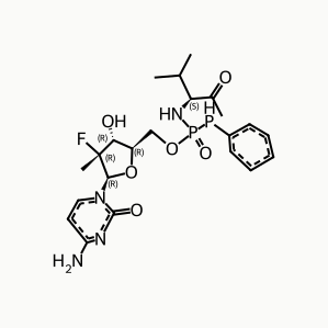 CC(=O)[C@@H](NP(=O)(OC[C@H]1O[C@@H](n2ccc(N)nc2=O)[C@](C)(F)[C@@H]1O)Pc1ccccc1)C(C)C